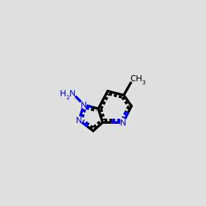 Cc1cnc2cnn(N)c2c1